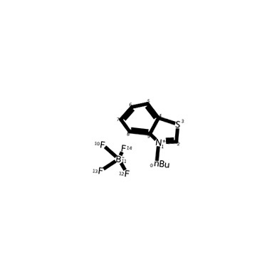 CCCC[n+]1csc2ccccc21.F[B-](F)(F)F